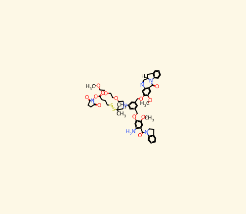 COCCOCCOCCN(CC(C)(C)SSCCCC(=O)ON1C(=O)CCC1=O)c1cc(COc2cc(N)c(C(=O)N3CCc4ccccc43)cc2OC)cc(COc2cc3c(cc2OC)C(=O)N2c4ccccc4C[C@H]2C=N3)c1